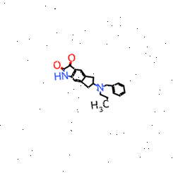 CCCN(Cc1ccccc1)C1Cc2cc3c(cc2C1)C(=O)C(=O)N3